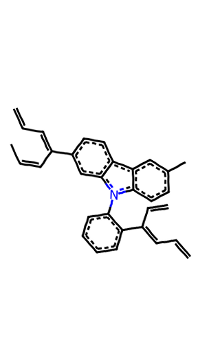 C=C/C=C(\C=C/C)c1ccc2c3cc(C)ccc3n(-c3ccccc3/C(C=C)=C/C=C)c2c1